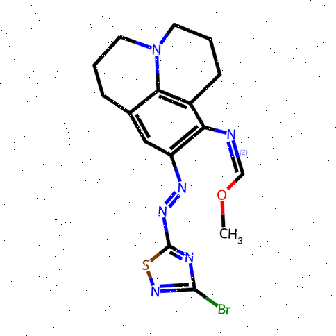 CO/C=N\c1c(N=Nc2nc(Br)ns2)cc2c3c1CCCN3CCC2